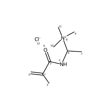 C=C(C)C(=O)NC(C)[N+](C)(C)C.[Cl-]